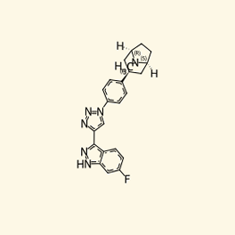 CN1[C@@H]2CC[C@H]1C[C@@H](c1ccc(-n3cc(-c4n[nH]c5cc(F)ccc45)nn3)cc1)C2